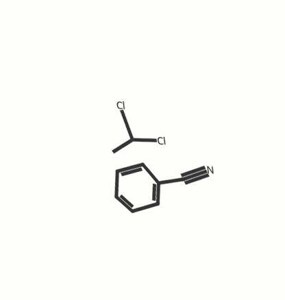 CC(Cl)Cl.N#Cc1ccccc1